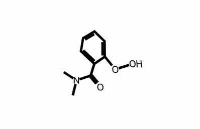 CN(C)C(=O)c1ccccc1OO